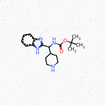 CC(C)(C)OC(=O)NC(c1nc2ccccc2[nH]1)C1CCNCC1